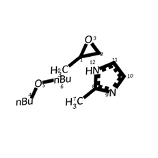 CC1CO1.CCCCOCCCC.Cc1ncc[nH]1